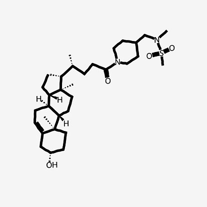 C[C@H](CCC(=O)N1CCC(CN(C)S(C)(=O)=O)CC1)[C@H]1CC[C@H]2[C@@H]3CC=C4C[C@@H](O)CC[C@]4(C)[C@H]3CC[C@]12C